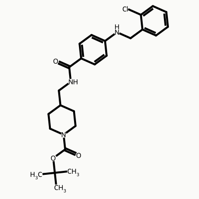 CC(C)(C)OC(=O)N1CCC(CNC(=O)c2ccc(NCc3ccccc3Cl)cc2)CC1